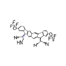 N#CC(C#N)=C1c2cc(OC(F)(F)F)ccc2-c2cc3cc4c(cc3cc21)/C(=C(/C#N)C=N)c1cc(OC(F)(F)F)ccc1-4